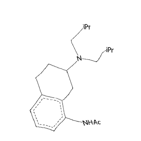 CC(=O)Nc1cccc2c1CC(N(CC(C)C)CC(C)C)CC2